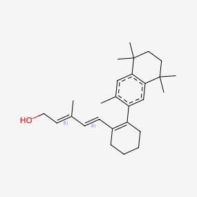 CC(/C=C/C1=C(c2cc3c(cc2C)C(C)(C)CCC3(C)C)CCCC1)=C\CO